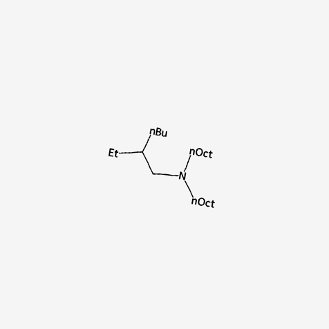 CCCCCCCCN(CCCCCCCC)CC(CC)CCCC